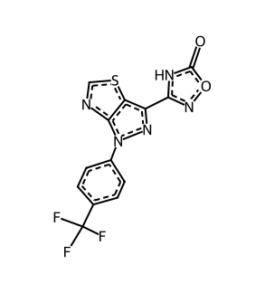 O=c1[nH]c(-c2nn(-c3ccc(C(F)(F)F)cc3)c3ncsc23)no1